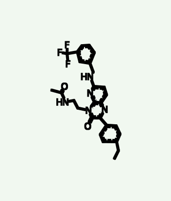 CCc1ccc(-c2nc3ccc(NCc4cccc(C(F)(F)F)c4)nc3n(CCNC(C)=O)c2=O)cc1